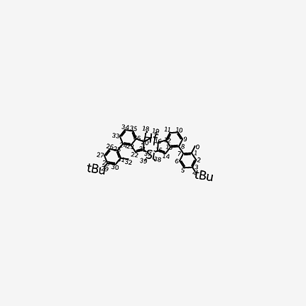 Cc1cc(C(C)(C)C)ccc1-c1cccc2c1C=C1[CH]2[Hf]([CH3])([CH3])[CH]2C(=Cc3c(-c4ccc(C(C)(C)C)cc4C)cccc32)[Si]1(C)C